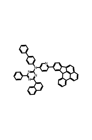 c1ccc(-c2ccc(N(c3ccc(-c4ccc5c(c4)C4c6ccccc6-c6cccc7ccc-5c4c67)nc3)c3nc(-c4ccccc4)nc(-c4cccc5ccccc45)n3)cc2)cc1